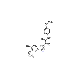 COc1ccc(NC(=O)C(=O)N/N=C\c2ccc(O)c(OC)c2)cc1